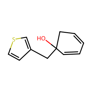 OC1(Cc2ccsc2)C=CC=CC1